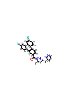 C[C@H](CCCc1cccnc1)NC(=O)c1ccc(-c2ccc(F)cc2)c(-c2ccc(F)cc2)c1